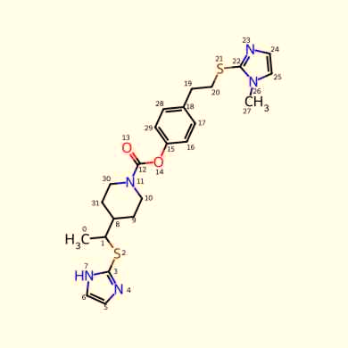 CC(Sc1ncc[nH]1)C1CCN(C(=O)Oc2ccc(CCSc3nccn3C)cc2)CC1